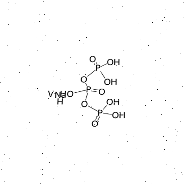 O=P(O)(O)OP(=O)(O)OP(=O)(O)O.[NaH].[V]